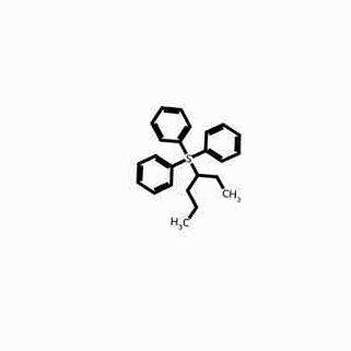 CCCC(CC)S(c1ccccc1)(c1ccccc1)c1ccccc1